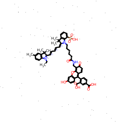 CC[N+]1=C(/C=C/C=C/C=C2/N(CCCCCC(=O)NCc3c4oc5cc(O)ccc5c(-c5ccc(C(=O)O)cc5C(=O)O)c-4ccc3=O)c3c(cccc3S(=O)(=O)O)C2(C)C)C(C)(C)c2cc(C)ccc21